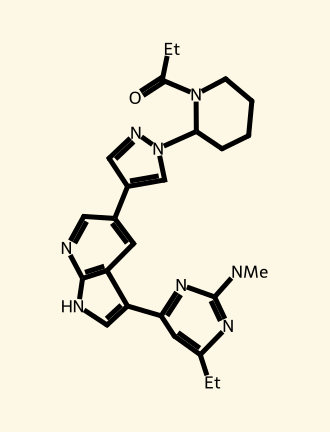 CCC(=O)N1CCCCC1n1cc(-c2cnc3[nH]cc(-c4cc(CC)nc(NC)n4)c3c2)cn1